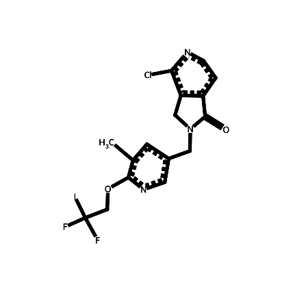 Cc1cc(CN2Cc3c(ccnc3Cl)C2=O)cnc1OCC(F)(F)I